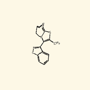 CC1=C(c2nsc3ccccc23)N2CCN=C2S1